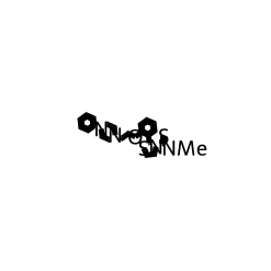 CNC(=S)N1CCSC1c1ccccc1OCCN1CCN(c2ccccc2)CC1